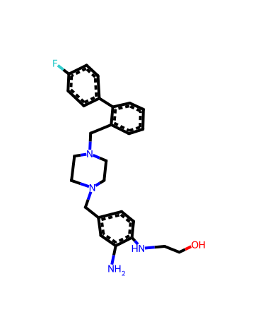 Nc1cc(CN2CCN(Cc3ccccc3-c3ccc(F)cc3)CC2)ccc1NCCO